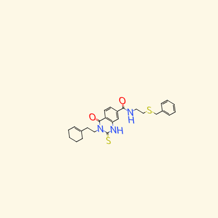 O=C(NCCSCc1ccccc1)c1ccc2c(=O)n(CCC3=CCCCC3)c(=S)[nH]c2c1